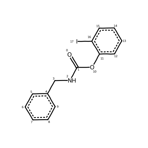 O=C(NCc1ccccc1)Oc1ccccc1I